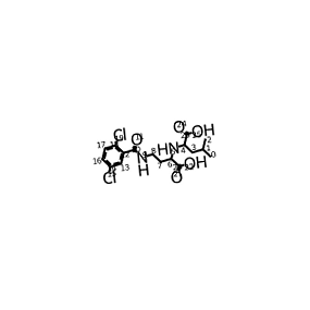 CC(C)CC(NC(CCNC(=O)c1cc(Cl)ccc1Cl)C(=O)O)C(=O)O